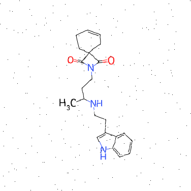 CC(CCN1C(=O)C2(CC=CCC2)C1=O)NCCc1c[nH]c2ccccc12